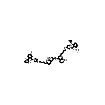 O=C(O)[C@H](c1cc(F)ccc1C1CCCO1)N1CC[C@@H](OCCCCc2ccc3c(n2)NCC(COc2cc(CCCCO[C@@H]4CCN([C@@H](C(=O)O)c5ccccc5OC5CC5)C4)nc4c2CCCN4)C3)C1